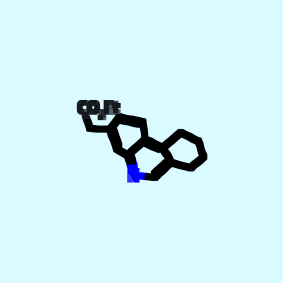 CCOC(=O)Cc1ccc2c3c(cnc2c1)CCCC3